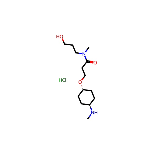 CN[C@H]1CC[C@H](OCCC(=O)N(C)CCCO)CC1.Cl